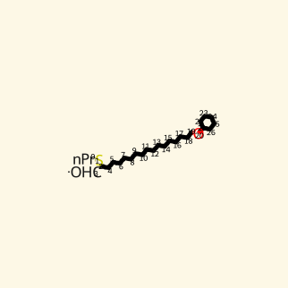 CCCSC([C]=O)CCCCCCCCCCCCCCCCOC1CC[CH]CC1